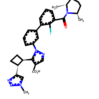 C[C@@H]1CCC[C@H](C)N1C(=O)c1cccc(-c2cccc(-n3ncc(C(=O)O)c3[C@@H]3CC[C@H]3c3cn(C)nn3)c2)c1F